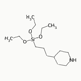 CCO[Si](CCCC1CCNCC1)(OCC)OCC